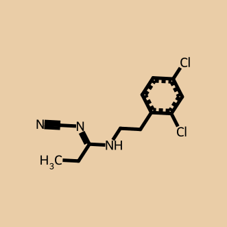 CCC(=NC#N)NCCc1ccc(Cl)cc1Cl